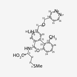 CSCCC(NC(=O)c1ccc(COCc2ccnnc2)cc1-c1ccccc1C)C(=O)O.[LiH]